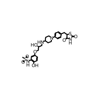 CS(=O)(=O)Nc1cc(OCC(O)CNC2CCN(c3ccc(CC4SC(=O)NC4=O)cc3)CC2)ccc1O